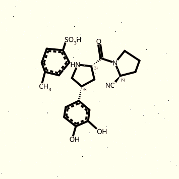 Cc1ccc(S(=O)(=O)O)cc1.N#C[C@@H]1CCCN1C(=O)[C@@H]1C[C@H](c2ccc(O)c(O)c2)CN1